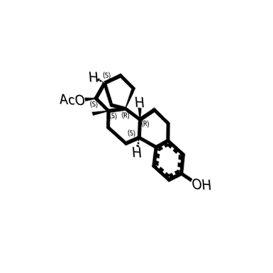 CC(=O)O[C@H]1[C@H]2CC[C@@]3(C2)[C@@H]2CCc4cc(O)ccc4[C@H]2CC[C@]13C